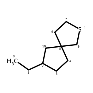 CCC1CCC2(CCSC2)C1